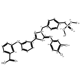 O=C(O)c1cccc(Oc2cccc(-c3nn(Cc4ccc(CP(=O)(OF)OF)cc4)c(=Nc4ccc(Cl)c(Cl)c4)s3)c2)c1